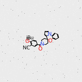 CC[C@H](C)Oc1ccc(C(=O)N2CCC3(CC2)Oc2ccccc2-n2cccc23)cc1C#N